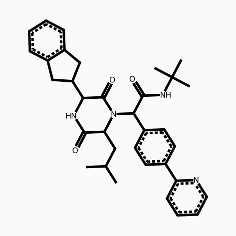 CC(C)CC1C(=O)NC(C2Cc3ccccc3C2)C(=O)N1C(C(=O)NC(C)(C)C)c1ccc(-c2ccccn2)cc1